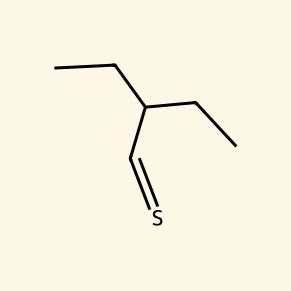 CCC(C=S)CC